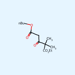 CCCCOC(=O)CC(=O)C(C)(C)C(=O)OCC